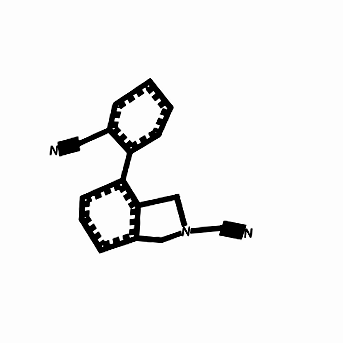 N#Cc1ccccc1-c1cccc2c1CN(C#N)C2